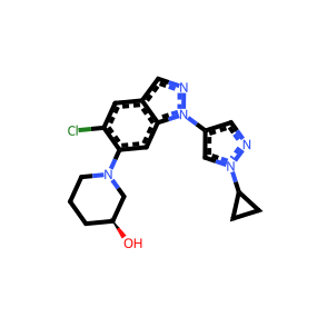 O[C@H]1CCCN(c2cc3c(cnn3-c3cnn(C4CC4)c3)cc2Cl)C1